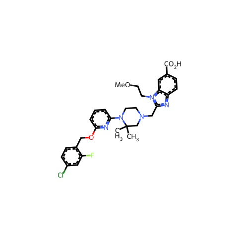 COCCn1c(CN2CCN(c3cccc(OCc4ccc(Cl)cc4F)n3)C(C)(C)C2)nc2ccc(C(=O)O)cc21